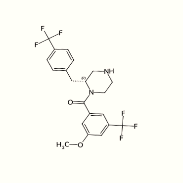 COc1cc(C(=O)N2CCNC[C@H]2Cc2ccc(C(F)(F)F)cc2)cc(C(F)(F)F)c1